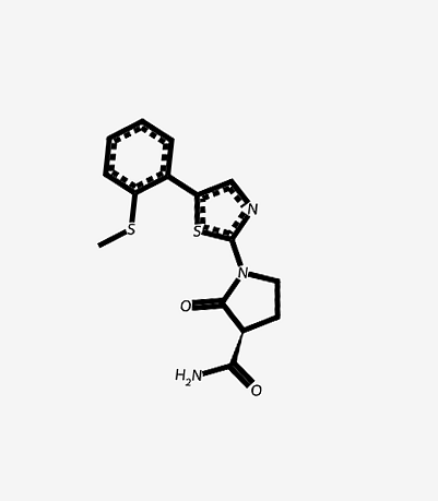 CSc1ccccc1-c1cnc(N2CC[C@@H](C(N)=O)C2=O)s1